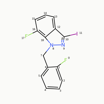 Fc1ccccc1Cn1nc(I)c2cccc(F)c21